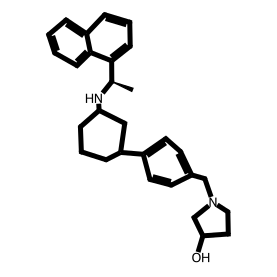 C[C@@H](NC1CCCC(c2ccc(CN3CCC(O)C3)cc2)C1)c1cccc2ccccc12